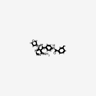 Cc1cccc(C(=O)Nc2ccc(-c3nn([C@@H]4CCOC4)c4ncnc(N)c34)cc2)c1